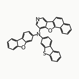 c1ccc2c(c1)ccc1c3cncc(N(c4ccc5c(c4)oc4ccccc45)c4ccc5c(c4)sc4ccccc45)c3oc21